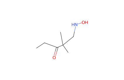 CCC(=O)C(C)(C)CNO